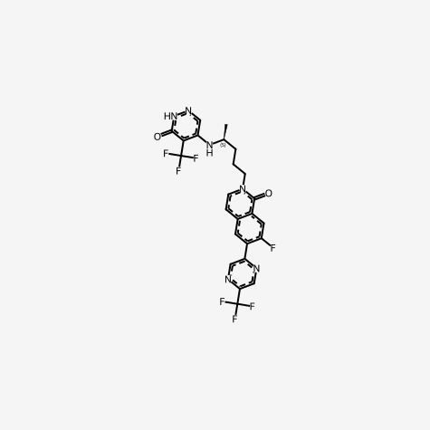 C[C@@H](CCCn1ccc2cc(-c3cnc(C(F)(F)F)cn3)c(F)cc2c1=O)Nc1cn[nH]c(=O)c1C(F)(F)F